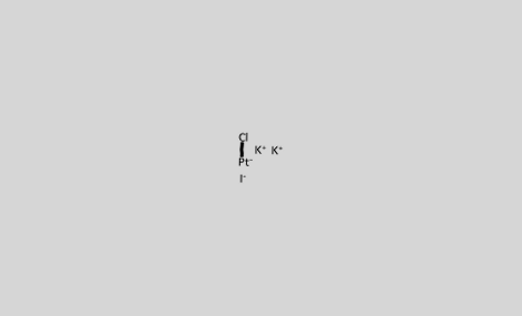 [Cl][Pt-].[I-].[K+].[K+]